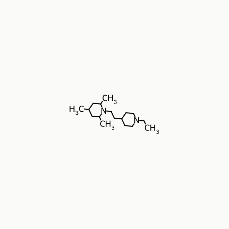 CCN1CCC(CCN2C(C)CC(C)CC2C)CC1